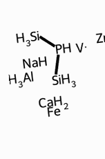 [AlH3].[CaH2].[Fe].[NaH].[SiH3]P[SiH3].[V].[Zn]